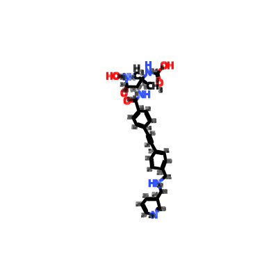 CC(C)(NC(=O)O)[C@H](NC(=O)c1ccc(C#Cc2ccc(CNCc3cccnc3)cc2)cc1)C(=O)NO